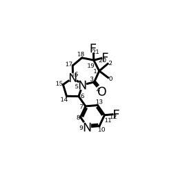 CC1(C)C(=O)N2C(c3cncc(F)c3)CCN2CCC1(F)F